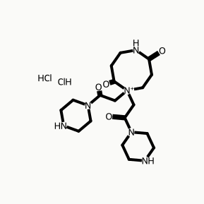 Cl.Cl.O=C1CC[N+](CC(=O)N2CCNCC2)(CC(=O)N2CCNCC2)C(=O)CCN1